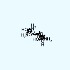 CC1C(N)[C@@H](O)C(CO)O[C@H]1OC(C)[C@H](N)/C=C/[C@H](CO)O[C@H]1OC(CN)[C@@H](O)CC1N